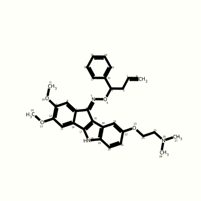 C=CCC(ON=C1c2cc(OC)c(OC)cc2-c2[nH]c3ccc(OCCN(C)C)cc3c21)c1ccccc1